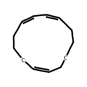 [CH]1C=CCCCCC=CC=CCC1